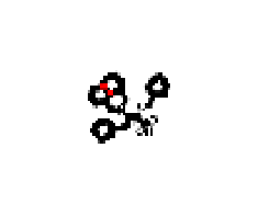 O=C(O)[C@@H](OCc1ccccc1)C(Cc1ccccc1)N(Cc1ccccc1)Cc1ccccc1